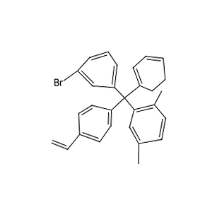 C=Cc1ccc(C(C2=CC=CCC2)(c2cccc(Br)c2)c2cc(C)ccc2C)cc1